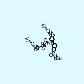 CC(C)(C)OC(=O)N1Cc2ccc(-c3cc4cnn(COCC[Si](C)(C)C)c4cc3NC(=O)c3csc(-c4cnn(COCC[Si](C)(C)C)c4)n3)cc2C1